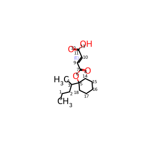 CCCC(C)C1(OC(=O)/C=C/C(=O)O)CCCCC1